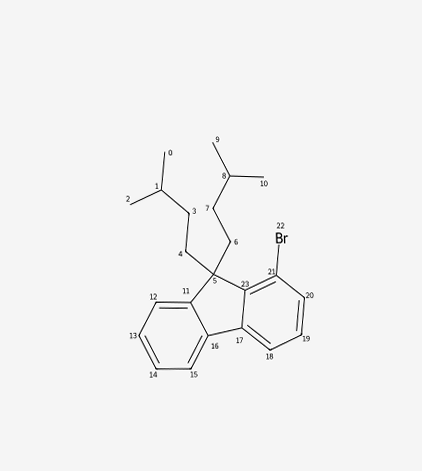 CC(C)CCC1(CCC(C)C)c2ccccc2-c2cccc(Br)c21